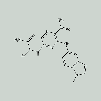 CCC(Nc1cnc(C(N)=O)c(Nc2ccc3c(ccn3C)c2)n1)C(N)=O